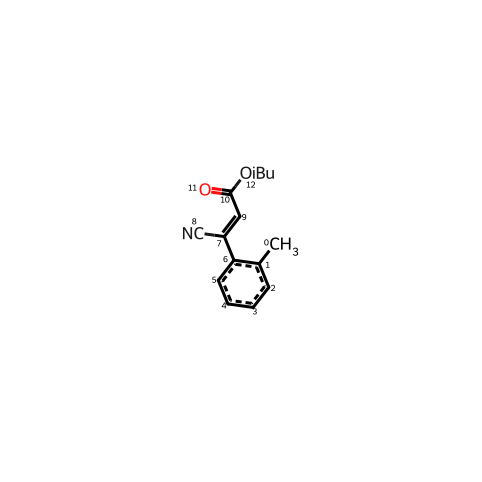 Cc1ccccc1C(C#N)=CC(=O)OCC(C)C